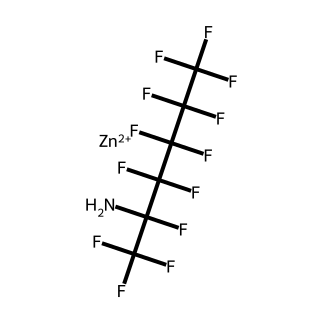 NC(F)(C(F)(F)F)C(F)(F)C(F)(F)C(F)(F)C(F)(F)F.[Zn+2]